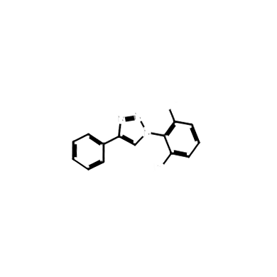 CC(C)c1cccc(C(C)C)c1-n1cc(-c2ccccc2)nn1